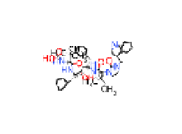 CCC(C)[C@@H](C(=O)N[C@@H](Cc1ccccc1)C[C@H](O)[C@H](Cc1ccccc1)NC(=O)[C@@H](NC(=O)O)C(C)(C)C)N1CCN(Cc2ccnc3ccccc23)C1=O